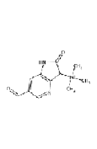 C[N+](C)(C)C1C(=O)Nc2cc(C=O)cnc21